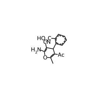 CC(=O)C1=C(C)OC(N)=C(C#N)C1c1ccccc1C(=O)O